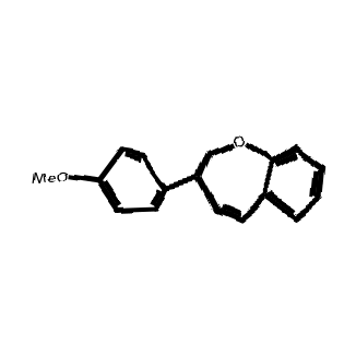 COc1ccc(C2C=Cc3ccccc3OC2)cc1